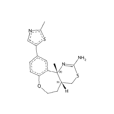 Cc1ncc(-c2ccc3c(c2)[C@]2(C)N=C(N)SC[C@@H]2CCO3)s1